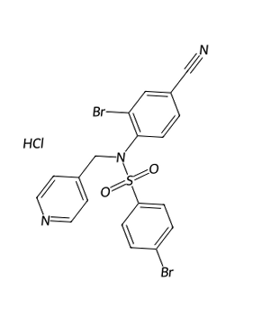 Cl.N#Cc1ccc(N(Cc2ccncc2)S(=O)(=O)c2ccc(Br)cc2)c(Br)c1